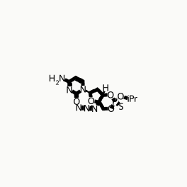 CC(C)OP1(=S)OCC2(N=[N+]=[N-])O[C@@H](n3ccc(N)nc3=O)C[C@@H]2O1